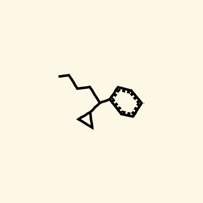 CCCCC(c1cc[c]cc1)C1CC1